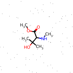 CNC(C(=O)OC)C(C)(C)O